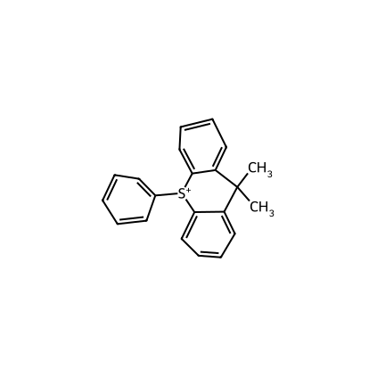 CC1(C)c2ccccc2[S+](c2ccccc2)c2ccccc21